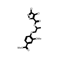 COC(=O)c1ccc(OCC(C)OC(=O)c2snc(Cl)c2Cl)c(OC)c1